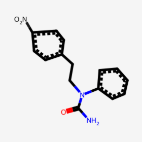 NC(=O)N(CCc1ccc([N+](=O)[O-])cc1)c1ccccc1